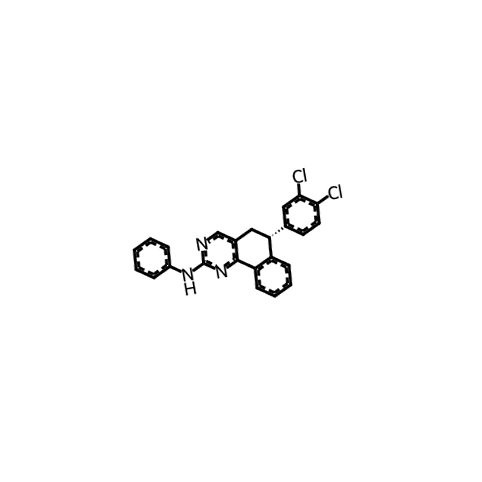 Clc1ccc([C@H]2Cc3cnc(Nc4ccccc4)nc3-c3ccccc32)cc1Cl